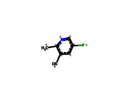 Cc1ncc(F)cc1N=O